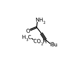 CC(=O)O.CCC(C)C#CC(N)=O